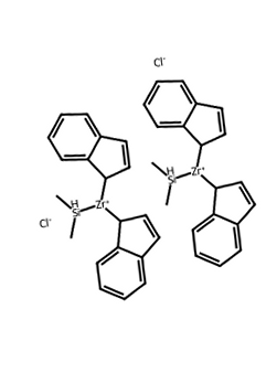 C[SiH](C)[Zr+]([CH]1C=Cc2ccccc21)[CH]1C=Cc2ccccc21.C[SiH](C)[Zr+]([CH]1C=Cc2ccccc21)[CH]1C=Cc2ccccc21.[Cl-].[Cl-]